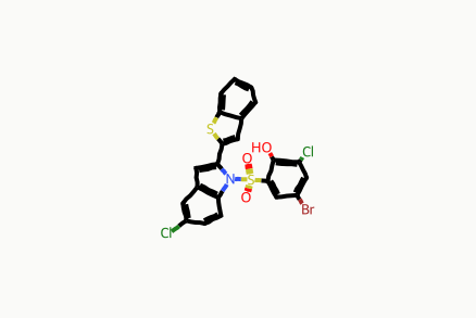 O=S(=O)(c1cc(Br)cc(Cl)c1O)n1c(-c2cc3ccccc3s2)cc2cc(Cl)ccc21